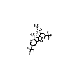 CCS(=O)(=O)C1=CC(C(F)(F)F)=CN(O)C1(C)c1nc2cc(C(F)(F)F)cnc2n1C